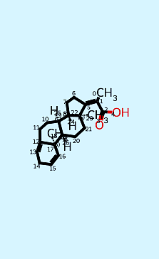 CC(C(=O)O)=C1CC[C@H]2[C@@H]3CCC4=CCC=C[C@]4(C)[C@H]3CC[C@]12C